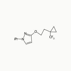 CC(C)n1ccc(OCCC2(C(F)(F)F)CC2)n1